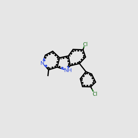 Cc1nccc2c1[nH]c1c(-c3ccc(Cl)cc3)cc(Cl)cc12